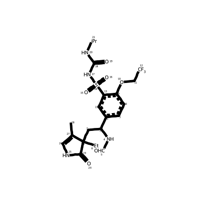 CCC1(CC(NC=O)c2ccc(OCC(F)(F)F)c(S(=O)(=O)NC(=O)NC(C)C)c2)C(=O)NC=C1C